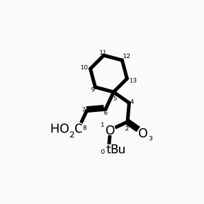 CC(C)(C)OC(=O)CC1(C=CC(=O)O)CCCCC1